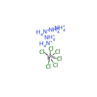 [Cl][Ir-5]([Cl])([Cl])([Cl])([Cl])[Cl].[NH4+].[NH4+].[NH4+].[NH4+].[NH4+]